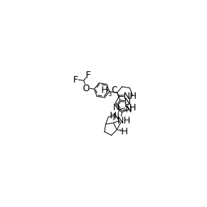 CC(=N)/C=C(\S)N1CC2CC[C@@H](C1)[C@@H]2Nc1nc2n(n1)CCCC2c1ccc(OC(F)F)cc1